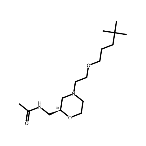 CC(=O)NC[C@H]1CN(CCOCCCC(C)(C)C)CCO1